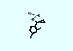 CC(C)(C)[S+]([O-])NC(c1ccc(F)cc1F)C1CC1